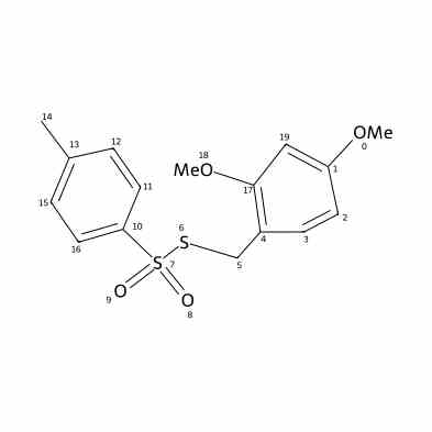 COc1ccc(CSS(=O)(=O)c2ccc(C)cc2)c(OC)c1